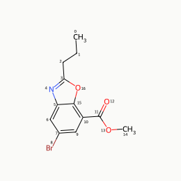 CCCc1nc2cc(Br)cc(C(=O)OC)c2o1